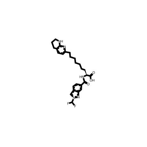 O=C(N[C@@H](CCCCCCCc1ccc2c(n1)NCCC2)C(=O)O)c1ccc2cn(C(F)F)nc2c1